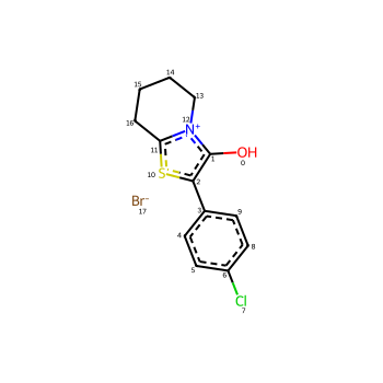 Oc1c(-c2ccc(Cl)cc2)sc2[n+]1CCCC2.[Br-]